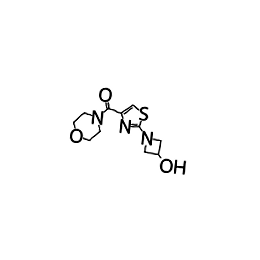 O=C(c1csc(N2CC(O)C2)n1)N1CCOCC1